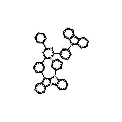 c1ccc(-c2nc(-c3cccc(-c4c5ccccc5n5c6ccccc6n(-c6ccccc6)c45)c3)nc(-c3cccc(-n4c5ccccc5c5ccccc54)c3)n2)cc1